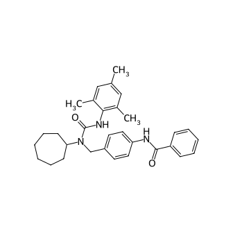 Cc1cc(C)c(NC(=O)N(Cc2ccc(NC(=O)c3ccccc3)cc2)C2CCCCCC2)c(C)c1